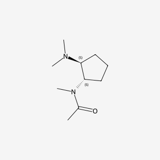 CC(=O)N(C)[C@H]1CCC[C@@H]1N(C)C